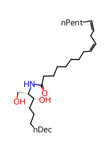 CCCCC/C=C\C/C=C\CCCCCCCC(=O)N[C@@H](CO)[C@H](O)CCCCCCCCCCCCC